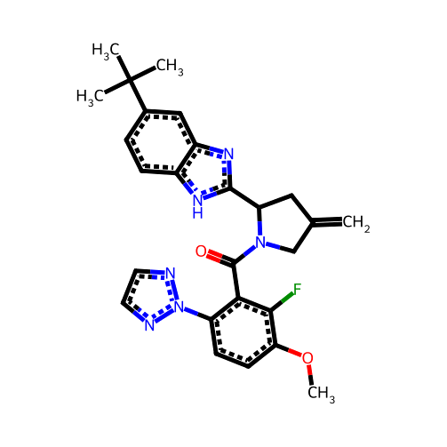 C=C1CC(c2nc3cc(C(C)(C)C)ccc3[nH]2)N(C(=O)c2c(-n3nccn3)ccc(OC)c2F)C1